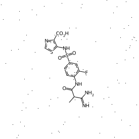 CC(C(=N)N)C(=O)Nc1ccc(S(=O)(=O)Nc2scnc2C(=O)O)cc1F